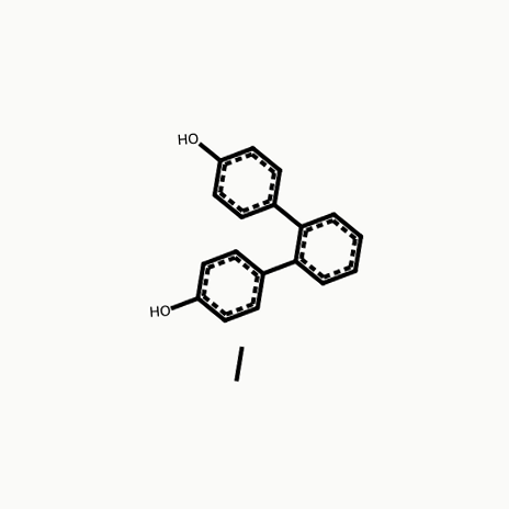 CC.Oc1ccc(-c2ccccc2-c2ccc(O)cc2)cc1